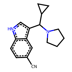 N#Cc1ccc2[nH]cc(C(C3CC3)N3CCCC3)c2c1